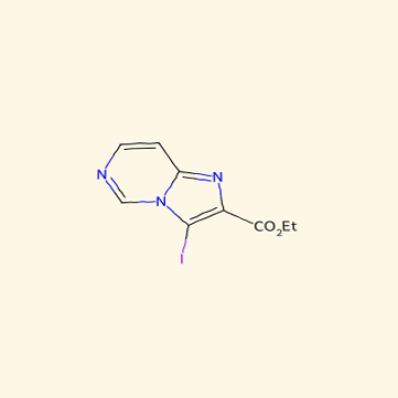 CCOC(=O)c1nc2ccncn2c1I